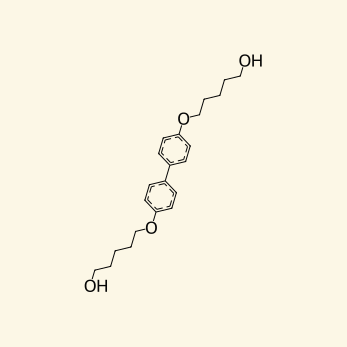 OCCCCCOc1ccc(-c2ccc(OCCCCCO)cc2)cc1